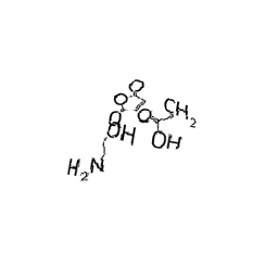 C=CC(=O)O.NCCO.O=C1C=CC(=O)O1